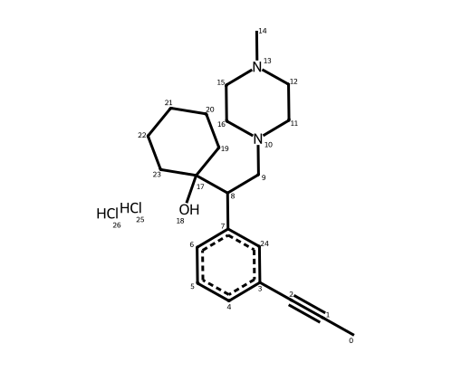 CC#Cc1cccc(C(CN2CCN(C)CC2)C2(O)CCCCC2)c1.Cl.Cl